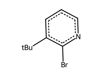 CC(C)(C)c1cccnc1Br